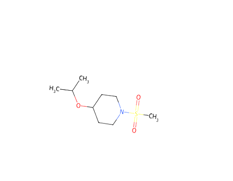 CC(C)OC1CCN(S(C)(=O)=O)CC1